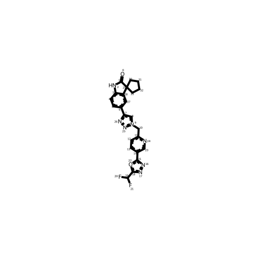 O=C1Nc2ccc(-c3cn(Cc4ccc(-c5nnc(C(F)F)o5)cn4)nn3)cc2C12CCCC2